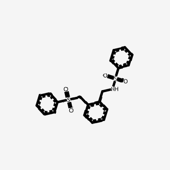 O=S(=O)(Cc1ccccc1CNS(=O)(=O)c1ccccc1)c1ccccc1